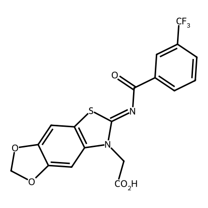 O=C(O)Cn1/c(=N/C(=O)c2cccc(C(F)(F)F)c2)sc2cc3c(cc21)OCO3